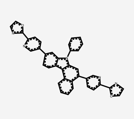 c1ccc(-n2c3cc(-c4ccc(-c5ncco5)nc4)ccc3c3c4ccccc4c(-c4ccc(-c5ncco5)nc4)cc32)cc1